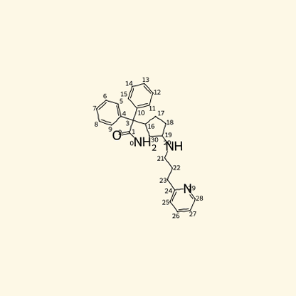 NC(=O)C(c1ccccc1)(c1ccccc1)C1CCC(NCCCc2ccccn2)C1